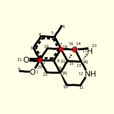 COc1ccc(C)c2c1[C@]13CCN[C@H](C2)[C@]1(OC)CCC(=O)C3